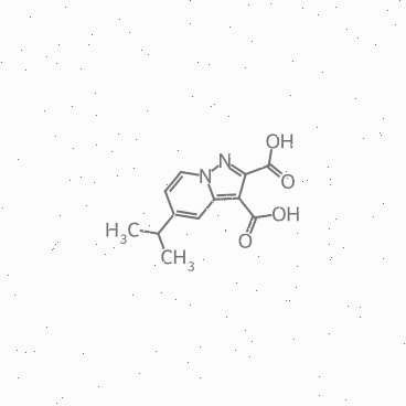 CC(C)c1ccn2nc(C(=O)O)c(C(=O)O)c2c1